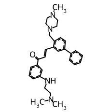 CN(C)CCNc1cccc(C(=O)C=Cc2cc(-c3ccccc3)ccc2CN2CCN(C)CC2)c1